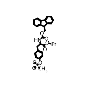 CC(C)OC(=O)C(Cc1ccc(OS(C)(=O)=O)cc1)NC(=O)OCC1c2ccccc2-c2ccccc21